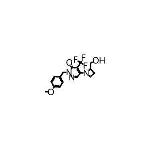 COc1ccc(Cn2ncc(N3CCC3CO)c(C(F)(F)F)c2=O)cc1